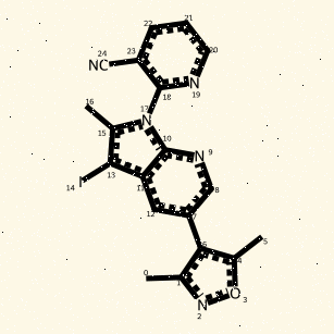 Cc1noc(C)c1-c1cnc2c(c1)c(I)c(C)n2-c1ncccc1C#N